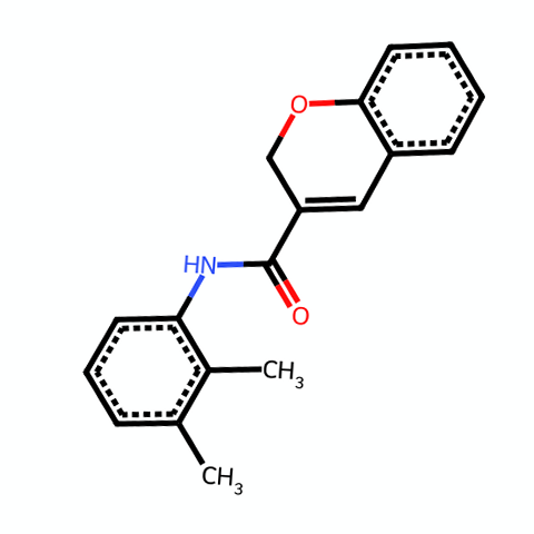 Cc1cccc(NC(=O)C2=Cc3ccccc3OC2)c1C